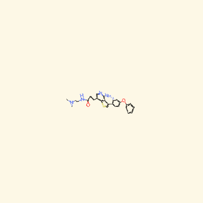 CN(C)CCNC(=O)C=Cc1cnc(N)c2c(-c3ccc(Oc4ccccc4)cc3)csc12